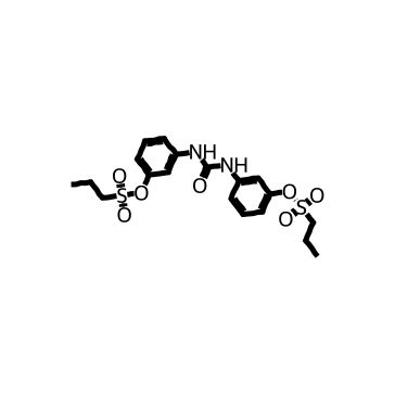 CCCS(=O)(=O)Oc1cccc(NC(=O)Nc2cccc(OS(=O)(=O)CCC)c2)c1